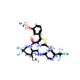 COc1cccc(-c2sc(C)nc2C(=O)N2CC(F)(F)CC(C)C2CNc2cnc(C(F)(F)F)cn2)c1